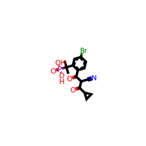 CC(C)(c1cc(Br)ccc1C(=O)C(C#N)C(=O)C1CC1)P(=O)(O)O